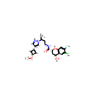 C=C(CCNC(=O)[C@H]1C[C@@H](O)c2cc(Cl)c(F)cc2O1)n1cc([C@H]2C[C@@H](OC(F)(F)F)C2)cn1